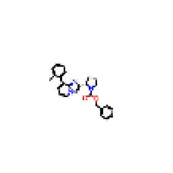 Cc1ccccc1-c1cccn2cc([C@@H]3CCCN3C(=O)OCc3ccccc3)nc12